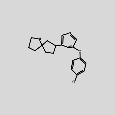 Clc1ccc(Oc2cncc(C3CCC4(CCCN4)C3)c2)cc1